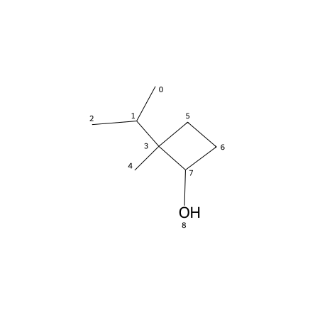 CC(C)C1(C)CCC1O